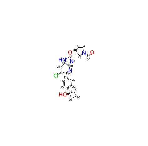 CC(=O)N1CC[C@@H](Oc2nc3nc(-c4ccc(C5(O)CCC5)cc4)c(Cl)cc3[nH]2)C1